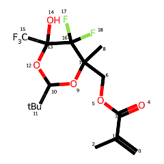 C=C(C)C(=O)OCC1(C)OC(C(C)(C)C)OC(O)(C(F)(F)F)C1(F)F